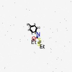 CCO/C(=N\c1ccc(C)cc1)SSCC